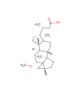 CO[C@@H]1C[C@H]2[C@@H]3CC[C@H]([C@H](C)CC(=O)O)[C@@]3(C)CC[C@@H]2[C@@]2(C)CC[C@@H]3CC312